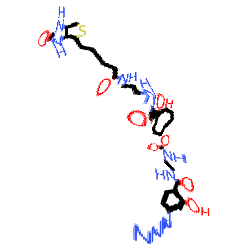 [N-]=[N+]=Nc1ccc(C(=O)NCCNC(=O)O[C@H]2/C=C/CC[C@@](O)(C(=O)NCCCNC(=O)CCCCC3SCC4NC(=O)NC43)CC2)c(O)c1